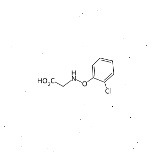 O=C(O)CNOc1ccccc1Cl